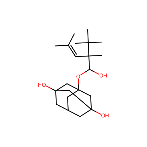 CC(C)=CC(C)(C(O)OC12CC3CC(O)(CC(O)(C3)C1)C2)C(C)(C)C